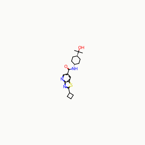 CC(C)(O)[C@H]1CC[C@H](NC(=O)c2cnc3nc(C4CCC4)sc3c2)CC1